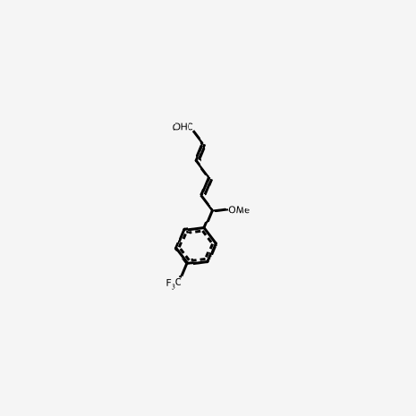 COC(C=CC=CC=O)c1ccc(C(F)(F)F)cc1